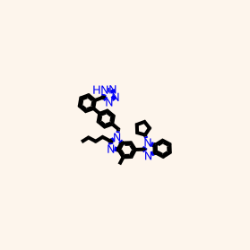 CCCCc1nc2c(C)cc(-c3nc4ccccc4n3C3CCCC3)cc2n1Cc1ccc(-c2ccccc2-c2nnn[nH]2)cc1